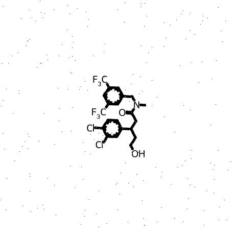 CN(Cc1cc(C(F)(F)F)cc(C(F)(F)F)c1)C(=O)CC(CCO)c1ccc(Cl)c(Cl)c1